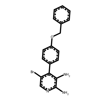 Nc1ncc(Br)c(-c2ccc(OCc3ccccc3)cc2)c1N